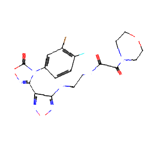 O=C(NCCNc1nonc1-c1noc(=O)n1-c1ccc(F)c(Br)c1)C(=O)N1CCOCC1